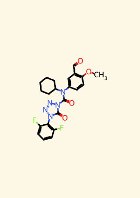 COc1ccc(N(C(=O)n2nnn(-c3c(F)cccc3F)c2=O)C2CCCCC2)cc1C=O